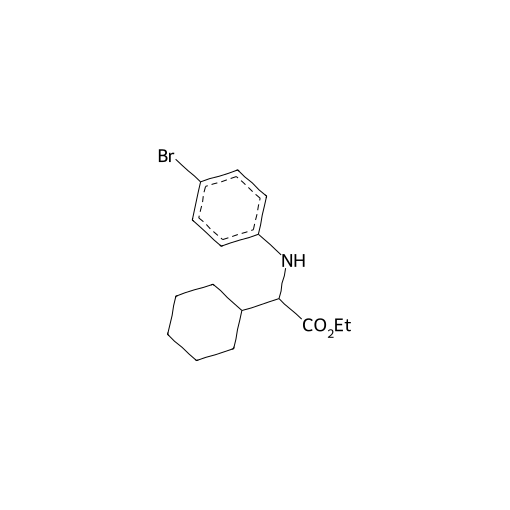 CCOC(=O)C(Nc1ccc(Br)cc1)C1CCCCC1